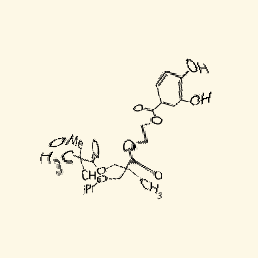 COC(C)(C)C(=O)OCC(C)(COC(C)C)C(=O)OCCOC(=O)c1ccc(O)c(O)c1